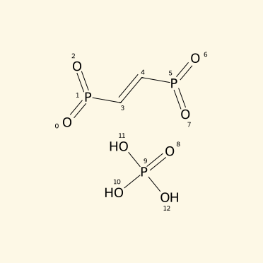 O=P(=O)C=CP(=O)=O.O=P(O)(O)O